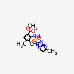 COC(=O)c1ccc(C)c(C)c1NS(=O)(=O)c1nc2nc(C)ccn2n1